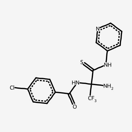 NC(NC(=O)c1ccc(Cl)cc1)(C(=S)Nc1cccnc1)C(F)(F)F